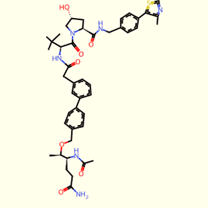 CC(=O)N[C@@H](CCC(N)=O)[C@@H](C)OCc1ccc(-c2cccc(CC(=O)N[C@H](C(=O)N3C[C@H](O)C[C@H]3C(=O)NCc3ccc(-c4scnc4C)cc3)C(C)(C)C)c2)cc1